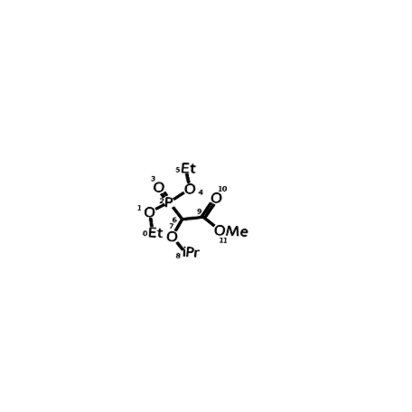 CCOP(=O)(OCC)C(OC(C)C)C(=O)OC